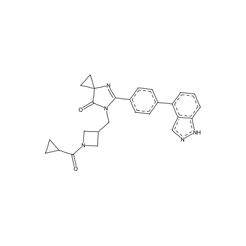 O=C(C1CC1)N1CC(CN2C(=O)C3(CC3)N=C2c2ccc(-c3cccc4[nH]ncc34)cc2)C1